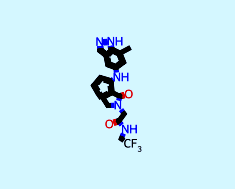 Cc1cc(Nc2cccc3c2C(=O)N(CC(=O)NCC(F)(F)F)C3)cc2cn[nH]c12